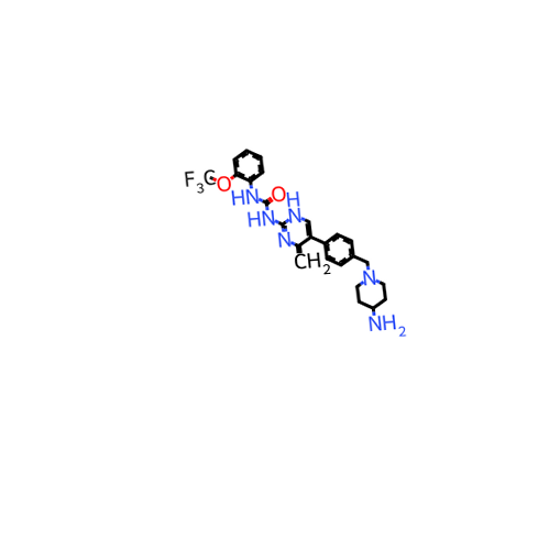 C=C1N=C(NC(=O)Nc2ccccc2OC(F)(F)F)NC=C1c1ccc(CN2CCC(N)CC2)cc1